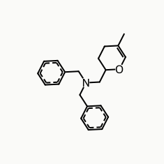 CC1=COC(CN(Cc2ccccc2)Cc2ccccc2)CC1